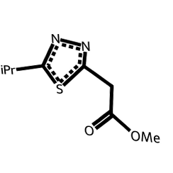 COC(=O)Cc1nnc(C(C)C)s1